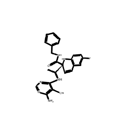 CC(Nc1ncnc(N)c1C#N)[C@]1(C(=O)NCc2ccccc2)C=Cc2cc(F)ccc2N1